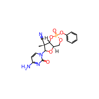 C[C@]1(C#N)C(n2ccc(N)nc2=O)O[C@@H]2COP(=O)(Oc3ccccc3)O[C@H]21